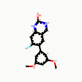 COc1cc(OC)cc(-c2cc3cnc(O)nc3cc2F)c1